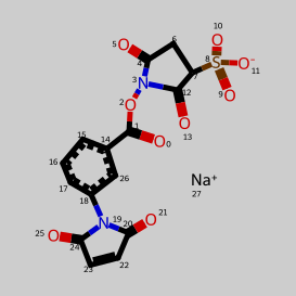 O=C(ON1C(=O)CC(S(=O)(=O)[O-])C1=O)c1cccc(N2C(=O)C=CC2=O)c1.[Na+]